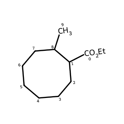 CCOC(=O)C1CCCCCCC1C